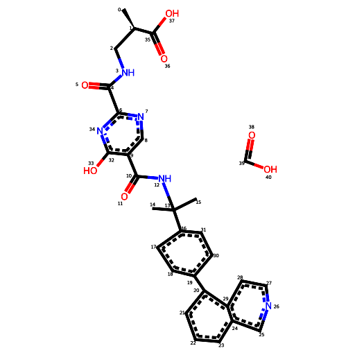 C[C@H](CNC(=O)c1ncc(C(=O)NC(C)(C)c2ccc(-c3cccc4cnccc34)cc2)c(O)n1)C(=O)O.O=CO